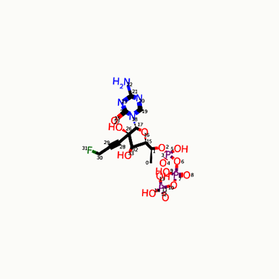 C[C@H](OP(=O)(O)OP(=O)(O)OP(=O)(O)O)[C@H]1O[C@@H](n2cnc(N)nc2=O)[C@@](O)(C#CCF)C1O